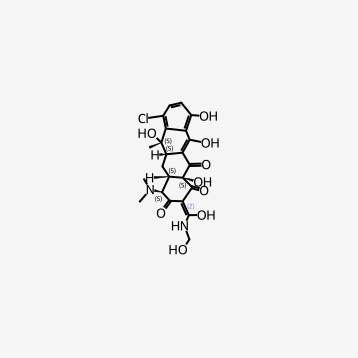 CN(C)[C@@H]1C(=O)/C(=C(/O)NCO)C(=O)[C@@]2(O)C(=O)C3=C(O)c4c(O)ccc(Cl)c4[C@@](C)(O)[C@H]3C[C@@H]12